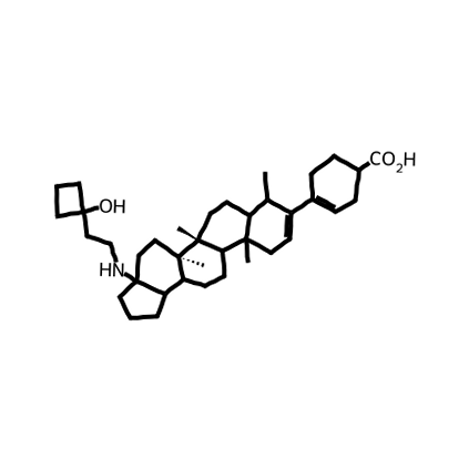 CC1C(C2=CCC(C(=O)O)CC2)=CCC2(C)C1CC[C@]1(C)C2CCC2C3CCCC3(NCCC3(O)CCC3)CC[C@]21C